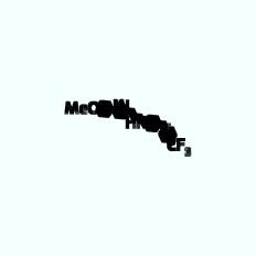 COc1ccc(-c2ccc(CCCNc3ccc(CN4CCC(C(F)(F)F)CC4)cc3)nn2)cc1